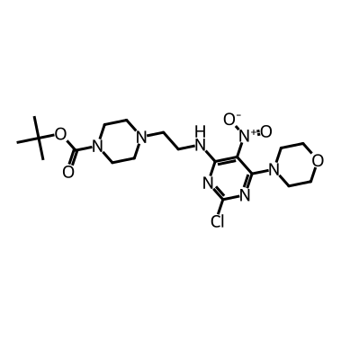 CC(C)(C)OC(=O)N1CCN(CCNc2nc(Cl)nc(N3CCOCC3)c2[N+](=O)[O-])CC1